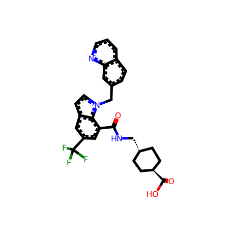 O=C(NC[C@H]1CC[C@H](C(=O)O)CC1)c1cc(C(F)(F)F)cc2ccn(Cc3ccc4cccnc4c3)c12